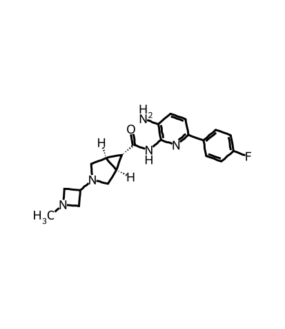 CN1CC(N2C[C@@H]3[C@H](C2)[C@H]3C(=O)Nc2nc(-c3ccc(F)cc3)ccc2N)C1